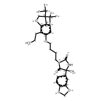 CCCc1c(OCCCCN2C(=O)NC(C)(c3ccc4c(c3)OCO4)C2=O)ccc2c1OCC2(C(F)(F)F)C(F)(F)F